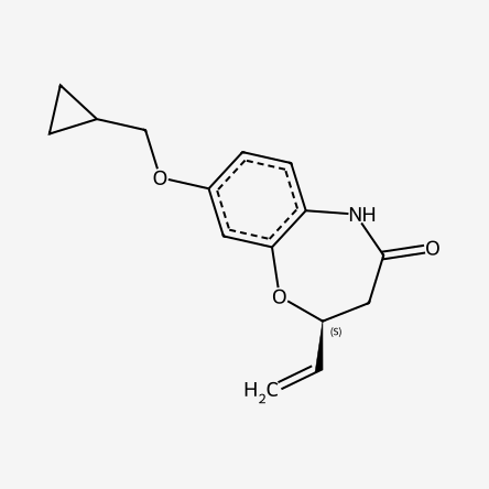 C=C[C@@H]1CC(=O)Nc2ccc(OCC3CC3)cc2O1